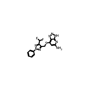 Nc1cc(SCc2nn(-c3ccccc3)nc2C(F)F)c2nn[nH]c2n1